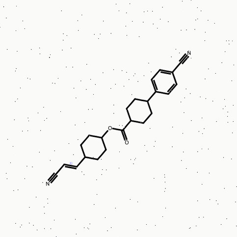 N#C/C=C/C1CCC(OC(=O)C2CCC(c3ccc(C#N)cc3)CC2)CC1